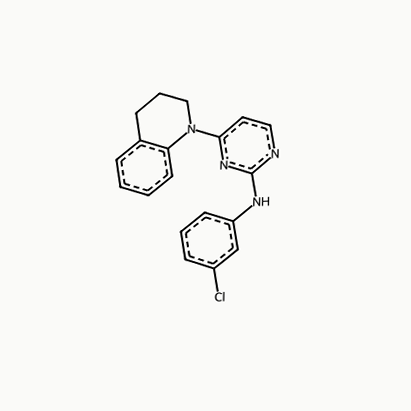 Clc1cccc(Nc2nccc(N3CCCc4ccccc43)n2)c1